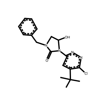 CC(C)(C)c1cc(N2C(=O)N(Cc3ccccc3)CC2O)nnc1Cl